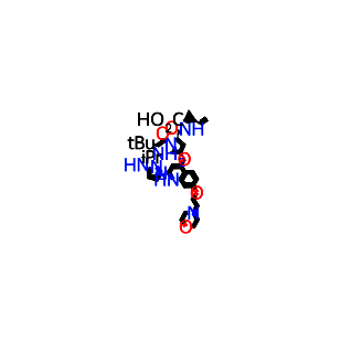 C=C[C@@H]1C[C@]1(NC(=O)[C@@H]1C[C@@H](OC2=CC(n3ccc(NC(C)C)n3)Nc3cc(OCCN4CCOCC4)ccc32)CN1C(=O)[C@@H](N)C(C)(C)C)C(=O)O